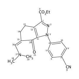 CCOC(=O)c1nn(-c2ccc(C#N)cc2)c2c1CC/C(=C/N(C)C)C2=O